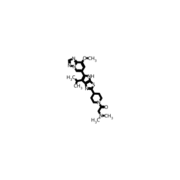 COc1cc(-c2[nH]c3sc(C4CCN(C(=O)CN(C)C)CC4)nc3c2C(C)C)cn2ncnc12